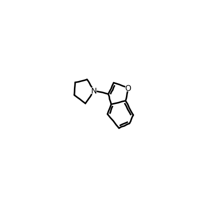 c1ccc2c(N3CCCC3)coc2c1